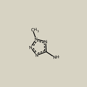 Cn1nnc([NH])n1